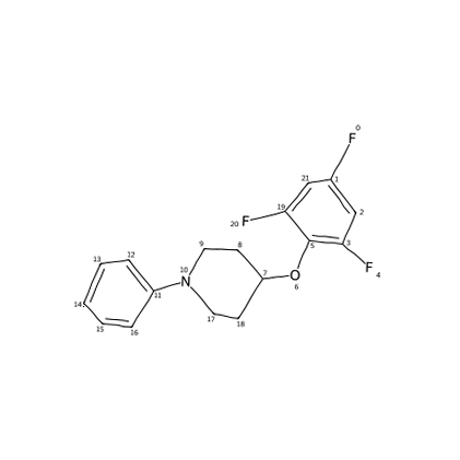 Fc1cc(F)c(OC2CCN(c3cc[c]cc3)CC2)c(F)c1